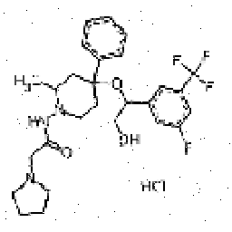 CC1CC(OC(CO)c2cc(F)cc(C(F)(F)F)c2)(c2ccccc2)CCN1NC(=O)CN1CCCC1.Cl